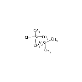 C[SiH2]C.C[Si](C)(C)Cl